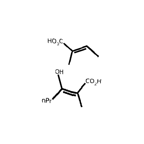 CC=C(C)C(=O)O.CCCC(O)=C(C)C(=O)O